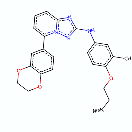 CNCCOc1ccc(Nc2nc3cccc(-c4ccc5c(c4)OCCO5)n3n2)cc1C